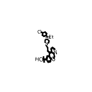 CC[As](c1ccc(Cl)cc1)C1CCN(CCC=C2c3cc(C(C)(C)O)ccc3OCc3ncccc32)CC1